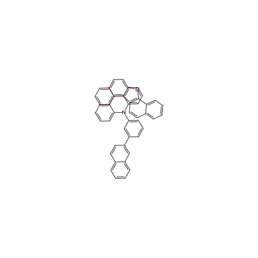 c1ccc(-c2ccccc2N(c2cccc(-c3ccc4ccccc4c3)c2)c2ccccc2-c2cccc3oc4c5ccccc5ccc4c23)cc1